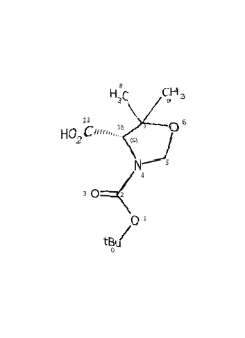 CC(C)(C)OC(=O)N1COC(C)(C)[C@H]1C(=O)O